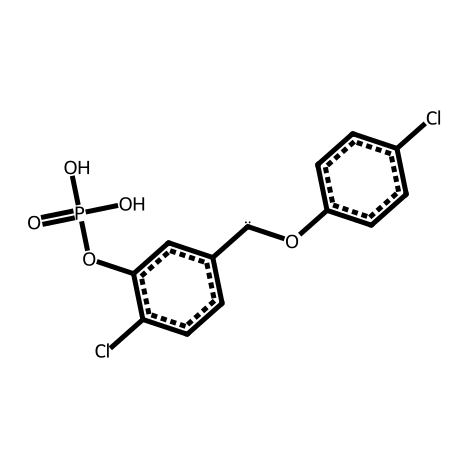 O=P(O)(O)Oc1cc([C]Oc2ccc(Cl)cc2)ccc1Cl